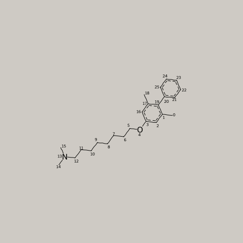 Cc1cc(OCCCCCCCCN(C)C)cc(C)c1-c1ccccc1